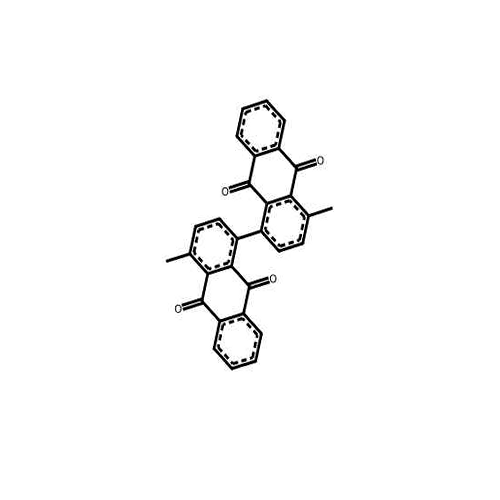 Cc1ccc(-c2ccc(C)c3c2C(=O)c2ccccc2C3=O)c2c1C(=O)c1ccccc1C2=O